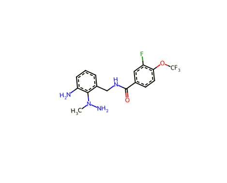 CN(N)c1c(N)cccc1CNC(=O)c1ccc(OC(F)(F)F)c(F)c1